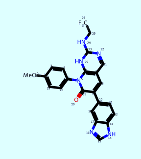 COc1ccc(-n2c3c(cc(-c4ccc5[nH]cnc5c4)c2=O)C=NC(NCC(F)(F)F)N3)cc1